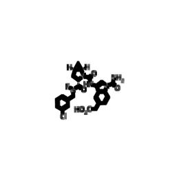 NC(=O)n1cc(NC(=O)N2[C@@H]3C[C@@H]3C[C@H]2C(=O)N(F)Cc2cccc(Cl)c2)c2cc(CC(=O)O)ccc21